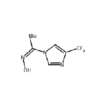 CC(C)(C)/C(=N/O)n1cnc(C(F)(F)F)c1